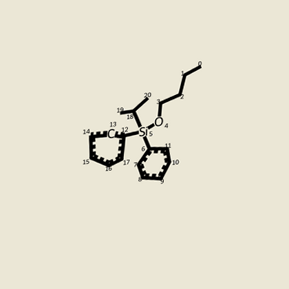 CCCCO[Si](c1ccccc1)(c1ccccc1)C(C)C